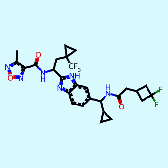 Cc1nonc1C(=O)NC(CC1(C(F)(F)F)CC1)c1nc2ccc(C(NC(=O)CC3CC(F)(F)C3)C3CC3)cc2[nH]1